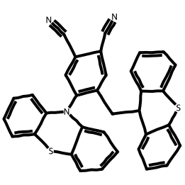 N#Cc1cc(CC2c3ccccc3Sc3ccccc32)c(N2c3ccccc3Sc3ccccc32)cc1C#N